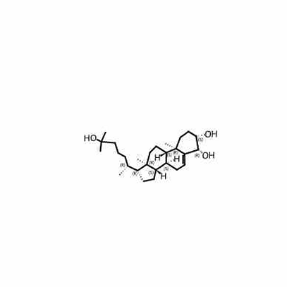 C[C@H](CCCC(C)(C)O)[C@H]1CC[C@H]2[C@@H]3CC=C4[C@@H](O)[C@@H](O)CC[C@]4(C)[C@H]3CC[C@]12C